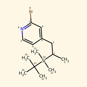 CC(Cc1ccnc(Br)c1)[Si](C)(C)C(C)(C)C